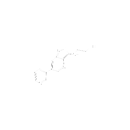 OCCNc1snc2cc(-c3cccnc3)cnc12